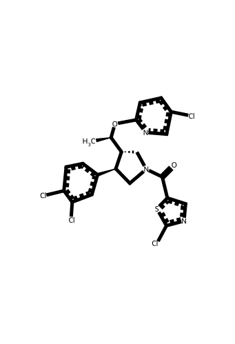 C[C@@H](Oc1ccc(Cl)cn1)[C@@H]1CN(C(=O)c2cnc(Cl)s2)C[C@H]1c1ccc(Cl)c(Cl)c1